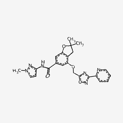 Cn1ccc(NC(=O)c2cc(OCc3nc(-c4ccccn4)no3)c3c(c2)OC(C)(C)C3)n1